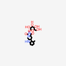 Cc1cccc2c1C1CC3C(=O)N(OC4OC(CO)C(O)C(O)C4O)C(=O)N3CC1N2